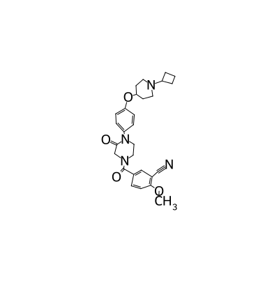 COc1ccc(C(=O)N2CCN(c3ccc(OC4CCN(C5CCC5)CC4)cc3)C(=O)C2)cc1C#N